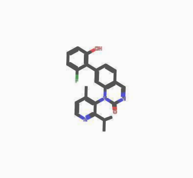 Cc1ccnc(C(C)C)c1-n1c(=O)ncc2ccc(-c3c(O)cccc3F)cc21